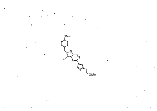 COCCn1cc(-c2ncc3nn(Cc4ccc(OC)cc4)c(Cl)c3n2)cn1